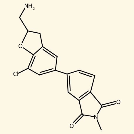 CN1C(=O)c2ccc(-c3cc(Cl)c4c(c3)CC(CN)O4)cc2C1=O